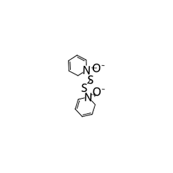 [O-][N+]1(SS[N+]2([O-])C=CC=CC2)C=CC=CC1